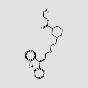 CCOC(=O)C1CCCN(CCOC/C=C(/c2ccccc2)c2ccccc2C)C1